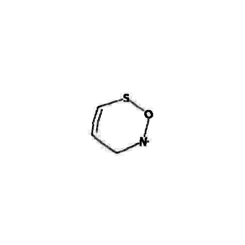 C1=CSO[N]C1